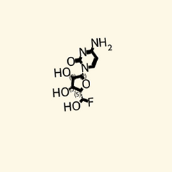 Nc1ccn([C@@H]2O[C@H](C(O)F)[C@@H](O)[C@H]2O)c(=O)n1